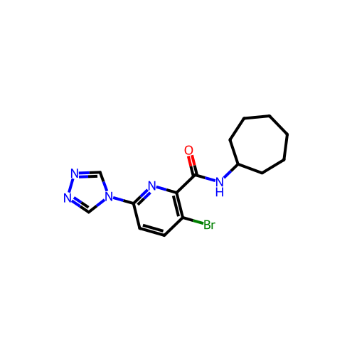 O=C(NC1CCCCCC1)c1nc(-n2cnnc2)ccc1Br